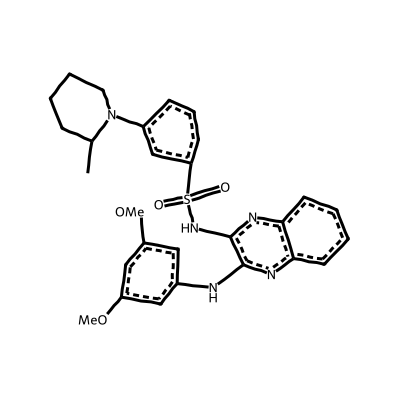 COc1cc(Nc2nc3ccccc3nc2NS(=O)(=O)c2cccc(N3CCCCC3C)c2)cc(OC)c1